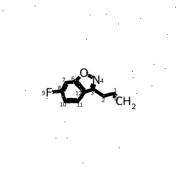 C=C[CH]c1noc2cc(F)ccc12